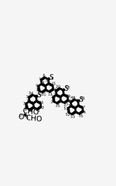 O=CC(=O)C=O.S=C1C=Cc2cccc3cccc1c23.S=C1C=Cc2cccc3cccc1c23.S=C1C=Cc2cccc3cccc1c23.S=C1C=Cc2cccc3cccc1c23